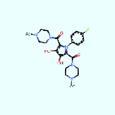 CC(=O)N1CCN(C(=O)c2c(O)c(O)c(C(=O)N3CCN(C(C)=O)CC3)n2-c2ccc(F)cc2)CC1